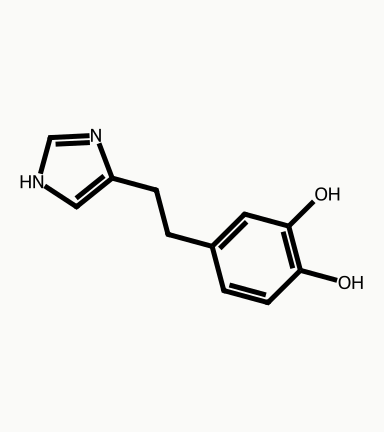 Oc1ccc(CCc2c[nH]cn2)cc1O